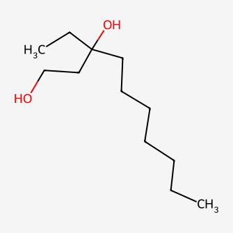 CCCCCCCC(O)(CC)CCO